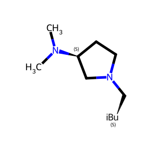 CC[C@H](C)CN1CC[C@H](N(C)C)C1